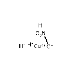 O=[N+]([O-])[O-].[Cu+4].[H-].[H-].[H-]